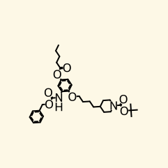 CCCCC(=O)Oc1ccc(OCCCCC2CCN(C(=O)OC(C)(C)C)CC2)c(NC(=O)OCc2ccccc2)c1